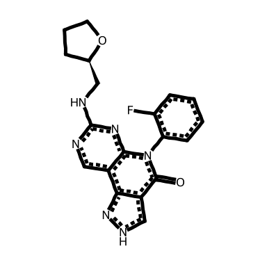 O=c1c2c[nH]nc2c2cnc(NC[C@H]3CCCO3)nc2n1-c1ccccc1F